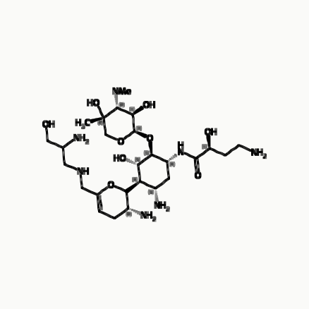 CN[C@@H]1[C@@H](O)[C@@H](O[C@@H]2[C@@H](O)[C@H](C3OC(CNCC(N)CO)=CC[C@H]3N)[C@@H](N)C[C@H]2NC(=O)[C@@H](O)CCN)OC[C@]1(C)O